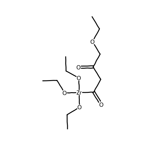 CCOCC(=O)C[C](=O)[Zr]([O]CC)([O]CC)[O]CC